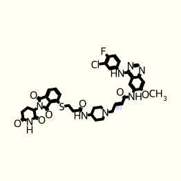 COc1cc2ncnc(Nc3ccc(F)c(Cl)c3)c2cc1NC(=O)/C=C/CN1CCC(NC(=O)CCSc2cccc3c2C(=O)N(C2CCC(=O)NC2=O)C3=O)CC1